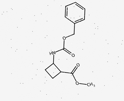 COC(=O)C1CCC1NC(=O)OCc1ccccc1